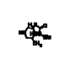 CC(C)(C)OC(N)=O.CC1CNCCN1